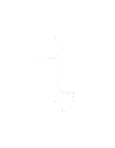 OCC(O)COc1[c]nsn1